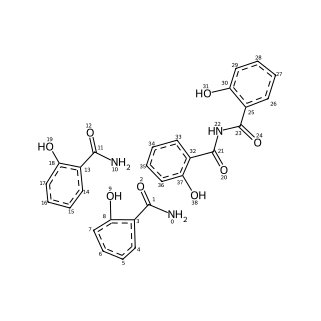 NC(=O)c1ccccc1O.NC(=O)c1ccccc1O.O=C(NC(=O)c1ccccc1O)c1ccccc1O